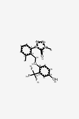 Cc1cccc(-n2nnn(C)c2=O)c1COc1ccc(O)cc1C(F)(F)F